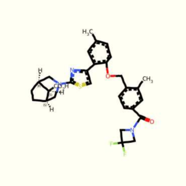 Cc1ccc(OCc2ccc(C(=O)N3CC(F)(F)C3)cc2C)c(-c2csc(N3C[C@H]4CC[C@@H](C3)[C@H]4C(=O)O)n2)c1